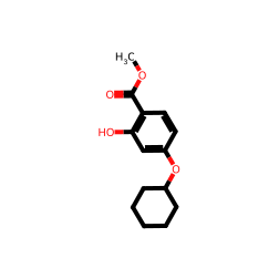 COC(=O)c1ccc(OC2CCCCC2)cc1O